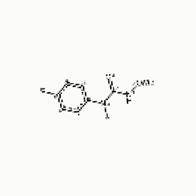 CONC(=O)N(C)c1ccc(C)cc1